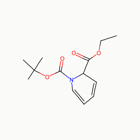 CCOC(=O)C1C=CC=CN1C(=O)OC(C)(C)C